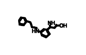 NC(CCO)c1cccc(NCCCc2ccccc2)c1